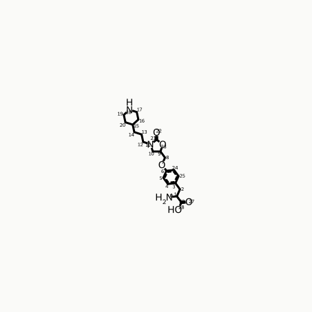 NC(Cc1ccc(OCC2CN(CCCC3CCNCC3)C(=O)O2)cc1)C(=O)O